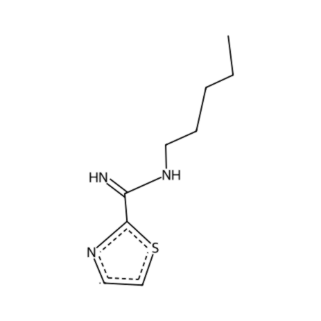 CCCCCNC(=N)c1n[c]cs1